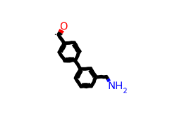 NCc1cccc(-c2ccc([C]=O)cc2)c1